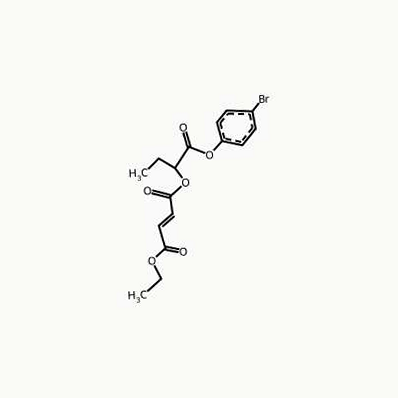 CCOC(=O)/C=C/C(=O)OC(CC)C(=O)Oc1ccc(Br)cc1